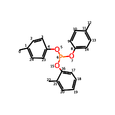 Cc1ccc(OP(Oc2ccc(C)cc2)Oc2ccccc2C)cc1